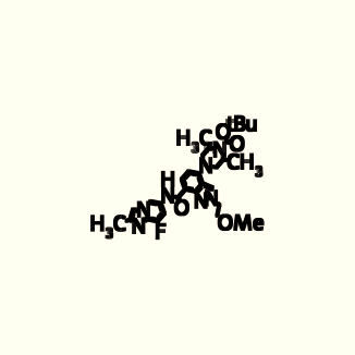 COCCn1cc2c(N3CC(C)N(C(=O)OC(C)(C)C)[C@@H](C)C3)ccc(C(=O)Nc3cc(F)c4nc(C)cn4c3)c2n1